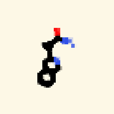 NC(=O)C1CC1c1cc2ccccc2cn1